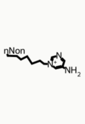 CCCCCCCCCCCCCCCC[n+]1cncc(N)c1